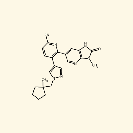 Cn1c(=O)[nH]c2cc(-c3nc(C#N)ccc3-c3cnn(CC4(C)CCCC4)c3)cnc21